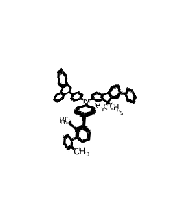 C#Cc1c(-c2ccc(N(c3ccc(C4Cc5ccccc5-c5ccccc54)cc3)c3ccc4c(c3)C(C)(C)c3cc(-c5ccccc5)ccc3-4)cc2)cccc1-c1ccccc1C